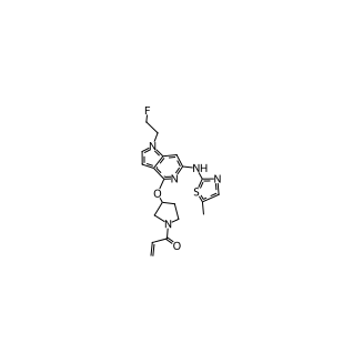 C=CC(=O)N1CCC(Oc2nc(Nc3ncc(C)s3)cc3c2ccn3CCF)C1